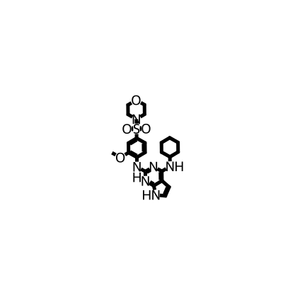 COc1cc(S(=O)(=O)N2CCOCC2)ccc1Nc1nc(NC2CCCCC2)c2cc[nH]c2n1